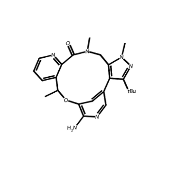 CC1Oc2cc(cnc2N)-c2c(C(C)(C)C)nn(C)c2CN(C)C(=O)c2ncccc21